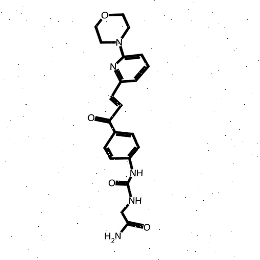 NC(=O)CNC(=O)Nc1ccc(C(=O)C=Cc2cccc(N3CCOCC3)n2)cc1